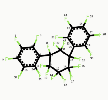 Fc1c(F)c(F)c(C2(F)C(F)(F)C(F)(F)C(F)(F)C(F)(c3c(F)c(F)c(F)c(F)c3F)C2(F)F)c(F)c1F